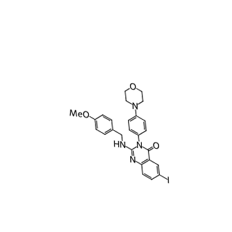 COc1ccc(CNc2nc3ccc(I)cc3c(=O)n2-c2ccc(N3CCOCC3)cc2)cc1